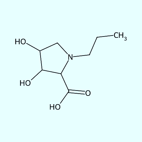 CCCN1CC(O)C(O)C1C(=O)O